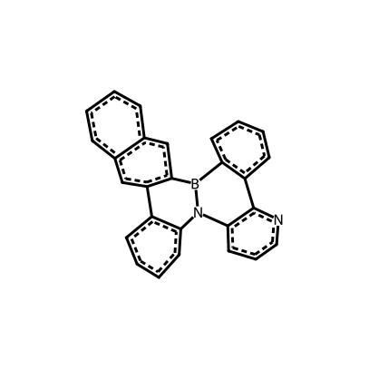 c1ccc2c(c1)B1c3cc4ccccc4cc3-c3ccccc3N1c1cccnc1-2